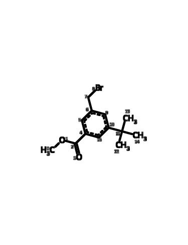 COC(=O)c1cc(CBr)cc(C(C)(C)C)c1